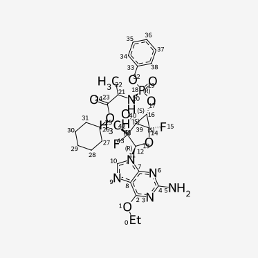 CCOc1nc(N)nc2c1ncn2[C@@H]1O[C@]2(F)[C@@H](O[P@](=O)(NC(C)C(=O)OC3CCCCC3)Oc3ccccc3)[C@]2(O)[C@@]1(C)F